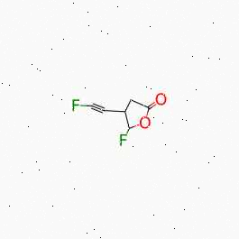 O=C1CC(C#CF)C(F)O1